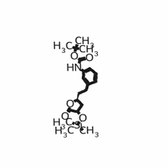 CC(C)(C)OC(=O)Nc1cccc(CC[C@H]2CC(O[Si](C)(C)C)C(=O)O2)c1